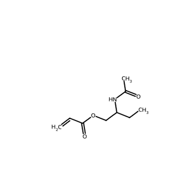 C=CC(=O)OCC(CC)NC(C)=O